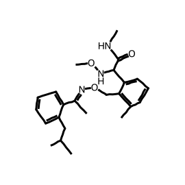 CNC(=O)C(NOC)c1cccc(C)c1CO/N=C(\C)c1ccccc1CC(C)C